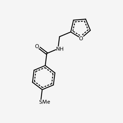 CSc1ccc(C(=O)NCc2ccco2)cc1